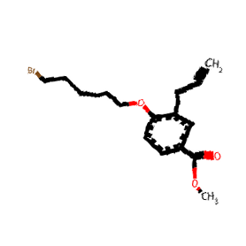 C=CCc1cc(C(=O)OC)ccc1OCCCCCBr